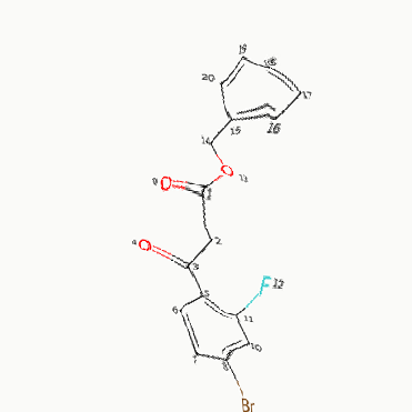 O=C(CC(=O)c1ccc(Br)cc1F)OCc1ccccc1